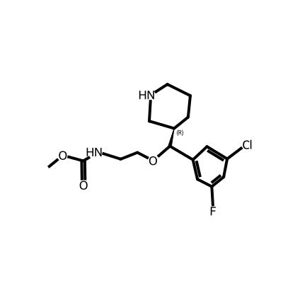 COC(=O)NCCOC(c1cc(F)cc(Cl)c1)[C@@H]1CCCNC1